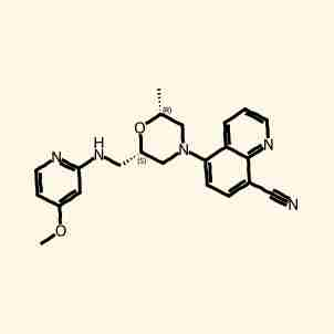 COc1ccnc(NC[C@H]2CN(c3ccc(C#N)c4ncccc34)C[C@@H](C)O2)c1